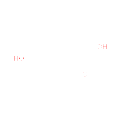 O=C(O)C=CCO